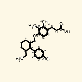 CCC1CCCC(COc2ccc(CCC(=O)O)c(C)c2C)=C1c1ccc(Cl)cc1